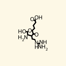 N=C(N)NCCC(C(=O)CCCCC(=O)O)[C@H](N)C(=O)O